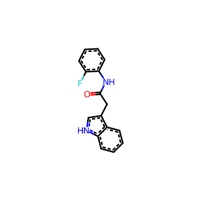 O=C(Cc1c[nH]c2ccccc12)Nc1ccccc1F